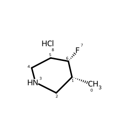 C[C@@H]1CNCC[C@@H]1F.Cl